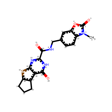 Cn1c(=O)oc2cc(CNC(=O)c3nc4sc5c(c4c(=O)[nH]3)CCC5)ccc21